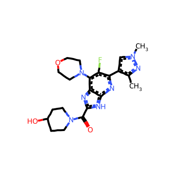 Cc1nn(C)cc1-c1nc2[nH]c(C(=O)N3CCC(O)CC3)nc2c(N2CCOCC2)c1F